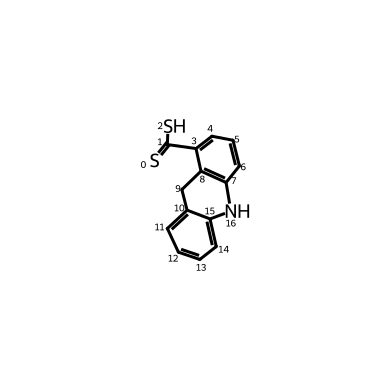 S=C(S)c1cccc2c1Cc1ccccc1N2